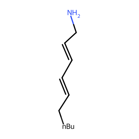 CCCCCC=CC=CCN